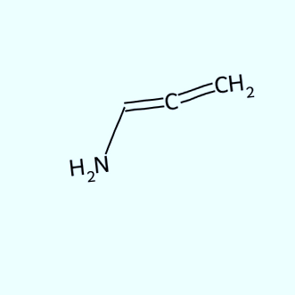 C=C=CN